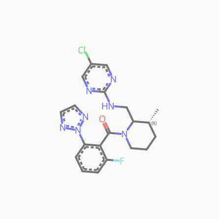 C[C@@H]1CCCN(C(=O)c2c(F)cccc2-n2nccn2)C1CNc1ncc(Cl)cn1